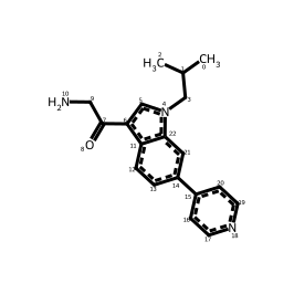 CC(C)Cn1cc(C(=O)CN)c2ccc(-c3ccncc3)cc21